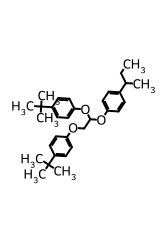 CCC(C)c1ccc(OC(COc2ccc(C(C)(C)C)cc2)Oc2ccc(C(C)(C)C)cc2)cc1